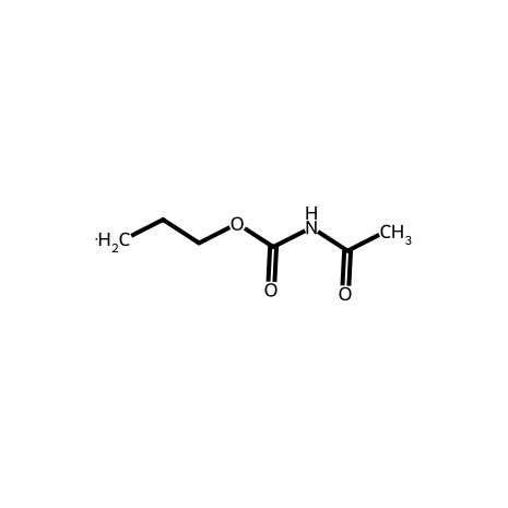 [CH2]CCOC(=O)NC(C)=O